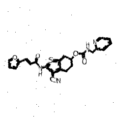 N#Cc1c(NC(=O)C=Cc2ccco2)sc2c1CCC(OC(=O)NCc1ccccn1)C2